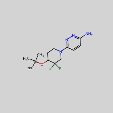 CC(C)(C)[Si](C)(C)OC1CCN(c2ccc(N)nn2)CC1(F)F